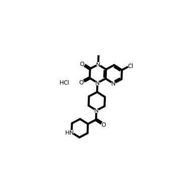 Cl.Cn1c(=O)c(=O)n(C2CCN(C(=O)C3CCNCC3)CC2)c2ncc(Cl)cc21